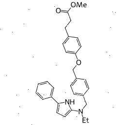 CCN(Cc1ccc(COc2ccc(CCC(=O)OC)cc2)cc1)c1ccc(-c2ccccc2)[nH]1